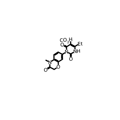 CCc1[nH]c(=O)n(-c2ccc3c(c2)OCC(=O)N3C)c(=O)c1C(=O)O